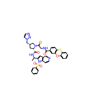 CC(NC(=O)[C@@H]1C[C@@H](Cn2ccnn2)CN1C(=O)CNC(=O)c1ccc2c(c1)Oc1ccccc1S2)c1cc2cnccc2n1S(=O)(=O)c1ccccc1